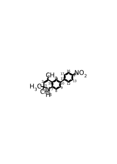 CC1=CC(C)(C)Nc2ccc(-c3ccc([N+](=O)[O-])cc3)cc21